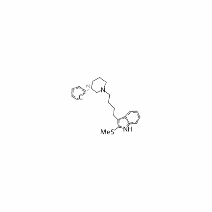 CSc1[nH]c2ccccc2c1CCCCN1CCC[C@@H](c2ccccc2)C1